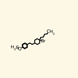 CCCCCC1(Br)CCC(CCc2ccc(OC)cc2)CC1